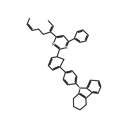 C/C=C\CC/C(=C\C)c1cc(-c2ccccc2)nc(C2C=CC=C(c3ccc(-n4c5c(c6ccccc64)CCCC5)cc3)C2)n1